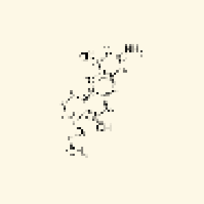 CCO[C@@H]1CCCc2c(Oc3c(Cl)cc(N)cc3Cl)ccc(O)c21